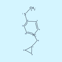 [CH2]Sc1cc[n+](CC2CC2)cc1